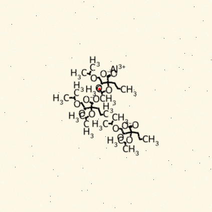 CCCC(OC(C)C)(C(=O)[O-])C(=O)COC(C)C.CCCC(OC(C)C)(C(=O)[O-])C(=O)COC(C)C.CCCC(OC(C)C)(C(=O)[O-])C(=O)COC(C)C.[Al+3]